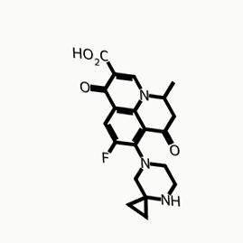 CC1CC(=O)c2c(N3CCNC4(CC4)C3)c(F)cc3c(=O)c(C(=O)O)cn1c23